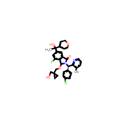 CC(O)(c1cc(F)c2c(c1)C(=O)N([C@H](c1ccc(Cl)cc1)c1ncccc1C#N)C2OCC1(CO)CC1)C1CCOCC1